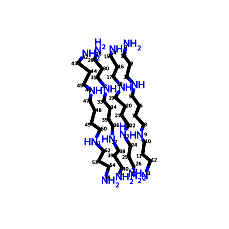 NCCCNCCCCNCCCN.NCCCNCCCCNCCCN.NCCCNCCCCNCCCN.NCCCNCCCCNCCCN